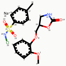 COc1ccccc1OCC1CNC(=O)O1.Cc1ccc(S(=O)(=O)[N-]Cl)cc1.[Na+]